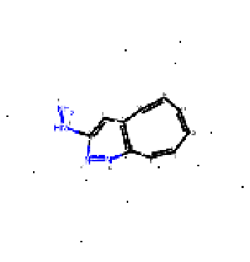 NNc1cc2c(nn1)C=CC=CC=C2